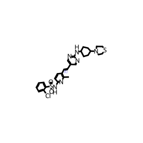 Cc1nc(NS(=O)(=O)c2ccccc2Cl)ccc1/C=C/c1cnc(NC2CCC(N3CCSCC3)CC2)nc1